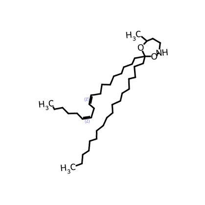 CCCCC/C=C\C/C=C\CCCCCCCCC1(CCCCCCCCCCCCCCCCCC)ONCCC(C)O1